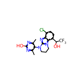 Cc1nc(O)nc(C)c1N1CCCn2c1nc1c(Cl)ccc(C(O)C(F)(F)F)c12